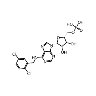 O=P(O)(O)OC[C@H]1O[C@@H](n2cnc3c(NCc4cc(Cl)ccc4Cl)ncnc32)[C@H](O)[C@@H]1O